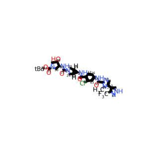 Cn1c(-c2c[nH]nc2C(F)(F)F)cnc1C(=O)Nc1ccc(C(=O)N[C@H]2[C@@H]3CN(C(=O)N[C@H]4CN(C(=O)OC(C)(C)C)C[C@@H]4O)C[C@@H]32)c(Cl)c1